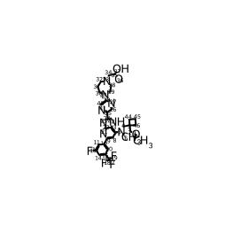 COCC1(CN(C)c2cc(-c3cc(F)cc(C(F)(F)F)c3)nc3nc(-c4cnc(N5CCCN(CC(=O)O)CC5)cn4)[nH]c23)CCC1